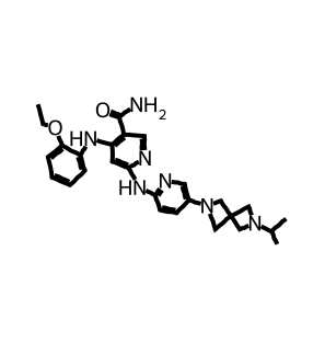 CCOc1ccccc1Nc1cc(Nc2ccc(N3CC4(C3)CN(C(C)C)C4)cn2)ncc1C(N)=O